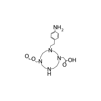 Nc1ccc(CCN2CCCN(COC=O)CCNCCCN(CC(=O)O)CC2)cc1